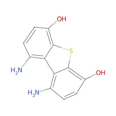 Nc1ccc(O)c2sc3c(O)ccc(N)c3c12